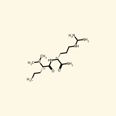 CCC[C@@H](C(=O)N[C@H](CCCNC(N)N)C(N)=O)N(C)C